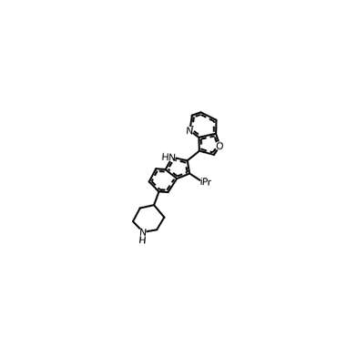 CC(C)c1c(-c2coc3cccnc23)[nH]c2ccc(C3CCNCC3)cc12